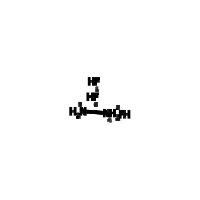 F.F.F.NN